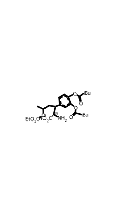 CCOC(=O)OC(C)CC(c1ccc(OC(=O)C(C)CC)c(OC(=O)C(C)CC)c1)[C@H](N)C(=O)O